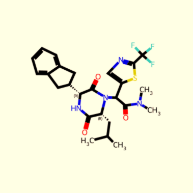 CC(C)C[C@@H]1C(=O)N[C@H](C2Cc3ccccc3C2)C(=O)N1C(C(=O)N(C)C)c1cnc(C(F)(F)F)s1